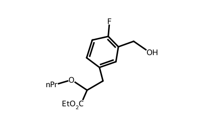 CCCOC(Cc1ccc(F)c(CO)c1)C(=O)OCC